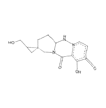 O=C1c2c(O)c(=O)ccn2NC2CCC3(CC3CO)CN12